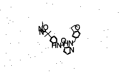 Cc1nnc(C(C)(C)c2ccc(NC(=O)c3cccnc3NCc3ccc4c(c3)CCO4)cc2)o1